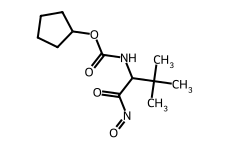 CC(C)(C)C(NC(=O)OC1CCCC1)C(=O)N=O